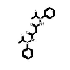 CC(=S)N(NC(=O)CC(=O)NN(C(C)=S)c1ccccc1)c1ccccc1